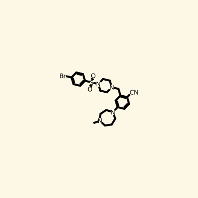 CN1CCCN(c2ccc(C#N)c(CN3CCN(S(=O)(=O)c4ccc(Br)cc4)CC3)c2)CC1